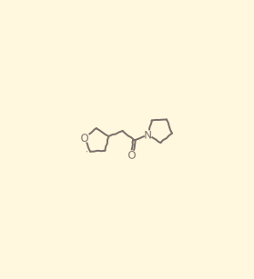 O=C(CC1C[CH]OC1)N1CCCC1